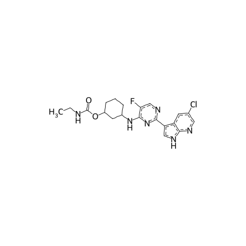 CCNC(=O)OC1CCCC(Nc2nc(-c3c[nH]c4ncc(Cl)cc34)ncc2F)C1